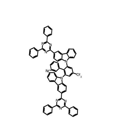 N#Cc1cccc(-c2c(-n3c4ccccc4c4cc(-c5nc(-c6ccccc6)nc(-c6ccccc6)n5)ccc43)cc(C(F)(F)F)cc2-n2c3ccccc3c3cc(-c4nc(-c5ccccc5)nc(-c5ccccc5)n4)ccc32)c1